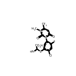 CCCC(Sc1cc(-n2c(=O)cc(C(F)(F)F)n(C)c2=O)c(F)cc1Cl)C(=O)O